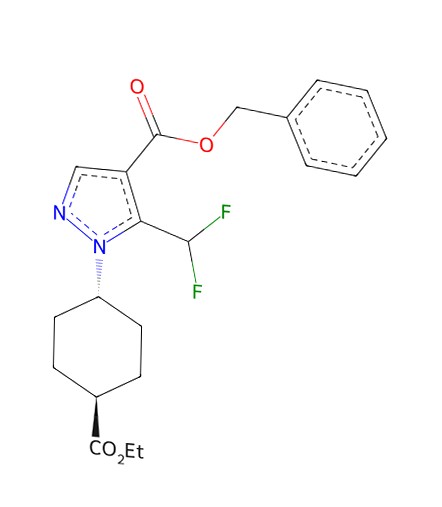 CCOC(=O)[C@H]1CC[C@H](n2ncc(C(=O)OCc3ccccc3)c2C(F)F)CC1